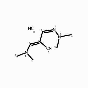 CN(C)/C=C(C#N)/C=N\N(C)C.Cl